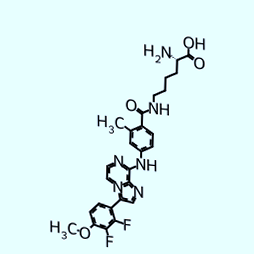 COc1ccc(-c2cnc3c(Nc4ccc(C(=O)NCCCC[C@H](N)C(=O)O)c(C)c4)nccn23)c(F)c1F